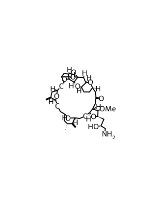 C=C1C[C@@H]2CC[C@@]34C[C@H]5OC6[C@@H](O[C@H]7CC[C@H](CC(=O)C[C@@H]8[C@@H](OC)[C@@H](C[C@H](O)CN)O[C@H]8CC[C@H]8O[C@@H](CC[C@@H]1O2)C[C@@H](C)C8=C)O[C@@H]7[C@@H]6O3)[C@H]5O4